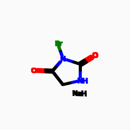 O=C1CNC(=O)N1Br.[NaH]